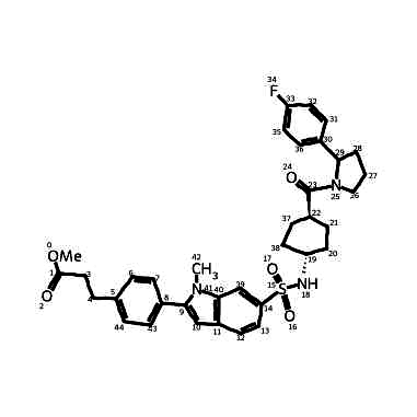 COC(=O)CCc1ccc(-c2cc3ccc(S(=O)(=O)N[C@H]4CC[C@H](C(=O)N5CCCC5c5ccc(F)cc5)CC4)cc3n2C)cc1